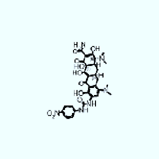 CN(C)c1cc(NC(=O)Nc2ccc([N+](=O)[O-])cc2)c(O)c2c1C[C@@H]1C[C@@H]3[C@@H](N(C)C)C(O)=C(C(N)=O)C(=O)[C@]3(O)C(O)=C1C2=O